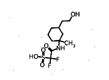 CC1(NC(=O)C(F)(F)S(=O)(=O)O)CCCC(CCO)C1